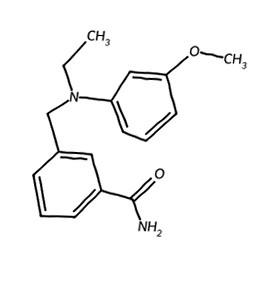 CCN(Cc1cccc(C(N)=O)c1)c1cccc(OC)c1